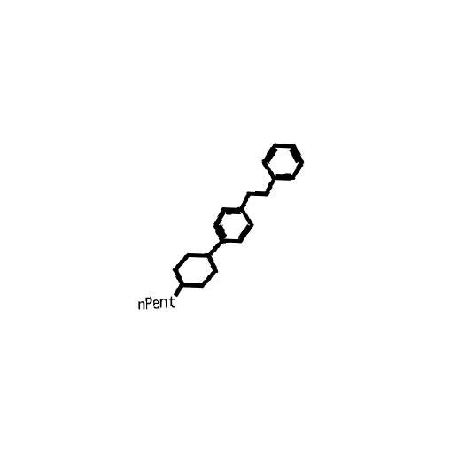 CCCCCC1CCC(c2ccc(CCc3ccccc3)cc2)CC1